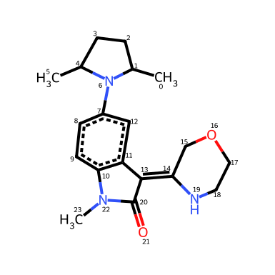 CC1CCC(C)N1c1ccc2c(c1)/C(=C1\COCCN1)C(=O)N2C